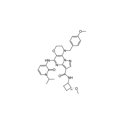 COc1ccc(CN2CCOc3c(Nc4cccn(C(C)C)c4=O)nc4c(C(=O)NC5CC[C@H]5OC)cnn4c32)cc1